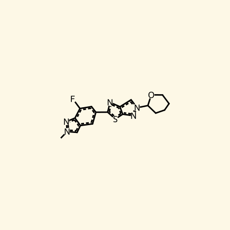 Cn1cc2cc(-c3nc4cn(C5CCCCO5)nc4s3)cc(F)c2n1